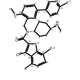 CN[C@H]1CC[C@H](N(Cc2cc(-c3ccc(F)nc3)ccc2OC)C(=O)c2sc3c(F)ccc(C)c3c2Cl)CC1